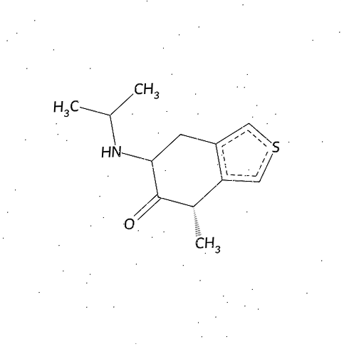 CC(C)NC1Cc2cscc2[C@H](C)C1=O